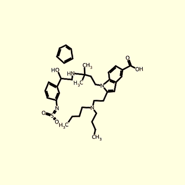 CCCCN(CCCC)CCc1cc2cc(C(=O)O)ccc2n1CCC(C)(C)NCC(O)c1cccc(N=S(=O)=O)c1.c1ccccc1